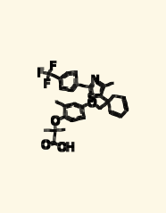 Cc1cc(OCC2(c3sc(-c4ccc(C(F)(F)F)cc4)nc3C)C=CC=CC2)ccc1OC(C)(C)C(=O)O